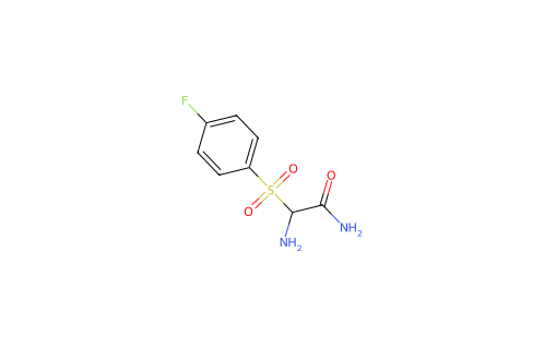 NC(=O)C(N)S(=O)(=O)c1ccc(F)cc1